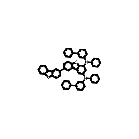 c1ccc(-c2cccc(N(c3ccccc3)c3cc(N(c4ccccc4)c4cccc(-c5ccccc5)c4)c4sc5ccc(-c6ccc7sc8ccccc8c7c6)cc5c4c3)c2)cc1